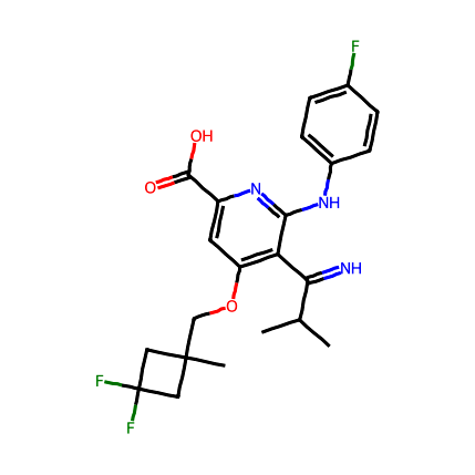 CC(C)C(=N)c1c(OCC2(C)CC(F)(F)C2)cc(C(=O)O)nc1Nc1ccc(F)cc1